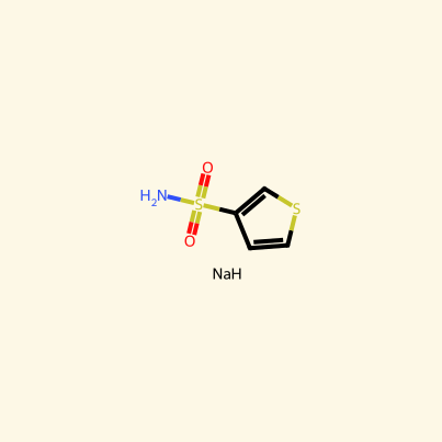 NS(=O)(=O)c1ccsc1.[NaH]